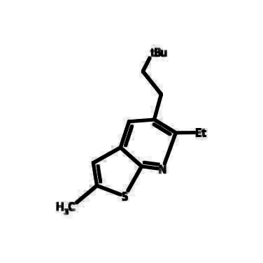 CCc1nc2sc(C)cc2cc1CCC(C)(C)C